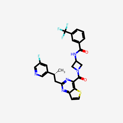 C[C@H](Cc1nc(C(=O)N2CC(NC(=O)c3cccc(C(F)(F)F)c3)C2)c2sccc2n1)c1cncc(F)c1